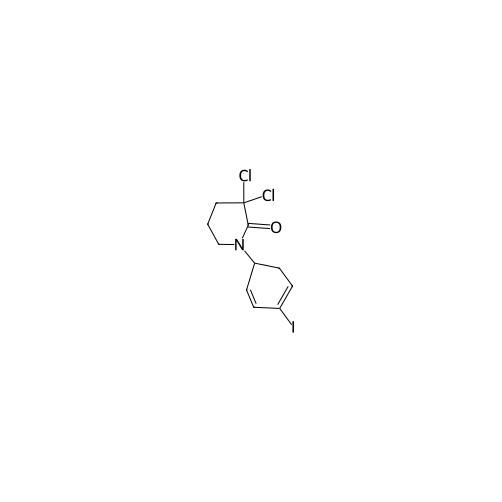 O=C1N(C2C=CC(I)=CC2)CCCC1(Cl)Cl